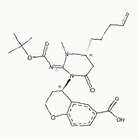 C=CCCC[C@@H]1CC(=O)N([C@@H]2CCOc3ccc(C(=O)O)cc32)/C(=N/C(=O)OC(C)(C)C)N1C